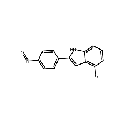 O=Nc1ccc(-c2cc3c(Br)cccc3[nH]2)cc1